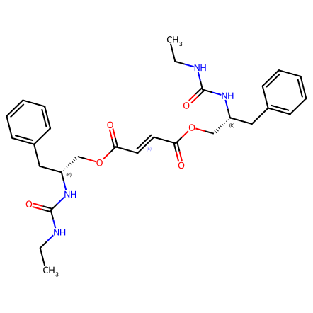 CCNC(=O)N[C@@H](COC(=O)/C=C/C(=O)OC[C@@H](Cc1ccccc1)NC(=O)NCC)Cc1ccccc1